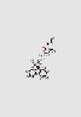 C=CC[C@@H]1O[C@@H](CCCO[Si](c2ccccc2)(c2ccccc2)C(C)(C)C)CC1=C